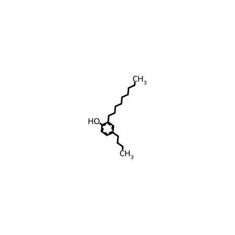 CCCCCCCCCc1cc(CCCC)ccc1O